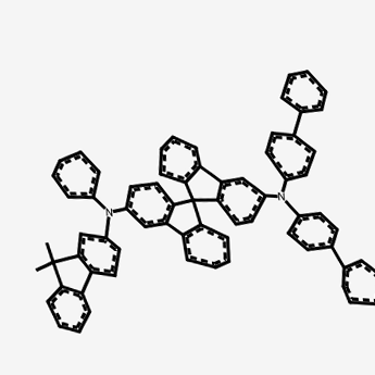 CC1(C)c2ccccc2-c2ccc(N(c3ccccc3)c3ccc4c(c3)-c3ccccc3C43c4ccccc4-c4cc(N(c5ccc(-c6ccccc6)cc5)c5ccc(-c6ccccc6)cc5)ccc43)cc21